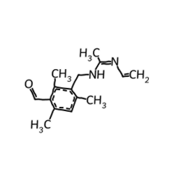 C=C/N=C(/C)NCc1c(C)cc(C)c(C=O)c1C